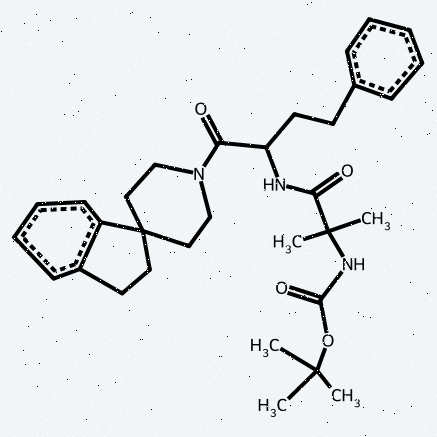 CC(C)(C)OC(=O)NC(C)(C)C(=O)NC(CCc1ccccc1)C(=O)N1CCC2(CCc3ccccc32)CC1